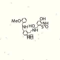 COc1ccccc1CNCc1cccc(CCNC(O)Cc2ccc(O)c3[nH]c(=O)sc23)c1.Cl.Cl